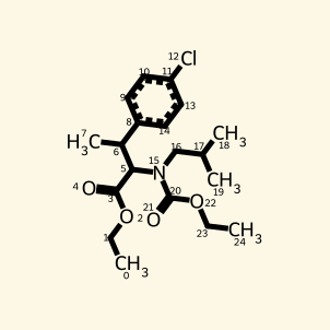 CCOC(=O)C(C(C)c1ccc(Cl)cc1)N(CC(C)C)C(=O)OCC